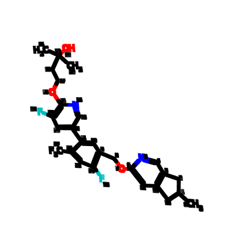 CC1Cc2cnc(OCc3cc(-c4cnc(OCCC(C)(C)O)c(F)c4)c(C(F)(F)F)cc3F)cc2C1